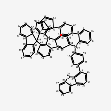 c1ccc(-c2ccc(-c3ccccc3N(c3ccc(-c4cccc5c4oc4ccccc45)cc3)c3ccc4c(c3)c3cccc5c3n4-c3ccccc3C53c4ccccc4-c4ccccc43)cc2)cc1